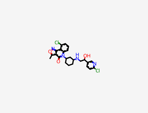 Cc1onc2c1c(=O)n(C1CCCC(NCC(O)c3ccc(Cl)nc3)C1)c1cccc(Cl)c21